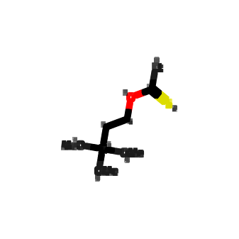 CCC(=S)OCC[Si](OC)(OC)OC